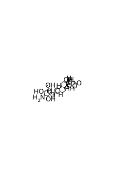 C[C@]12CC[C@H](O[C@H]3O[C@@H](CO)[C@H](O)[C@@H](N)[C@@H]3O)C[C@H]1CC[C@@H]1[C@@H]2CC[C@]2(C)[C@@H]3CC[C@]12O[C@H]1OC(=O)C[C@H]13